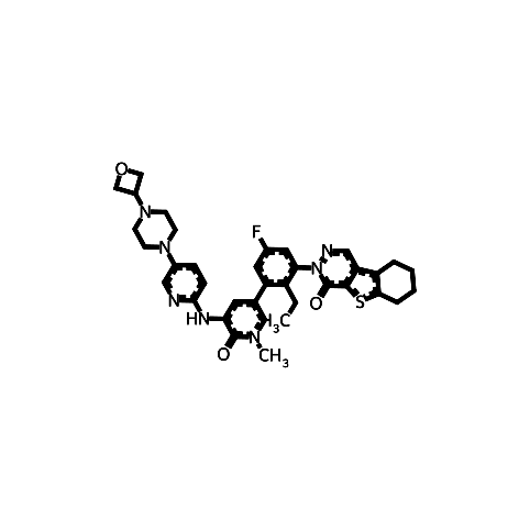 CCc1c(-c2cc(Nc3ccc(N4CCN(C5COC5)CC4)cn3)c(=O)n(C)c2)cc(F)cc1-n1ncc2c3c(sc2c1=O)CCCC3